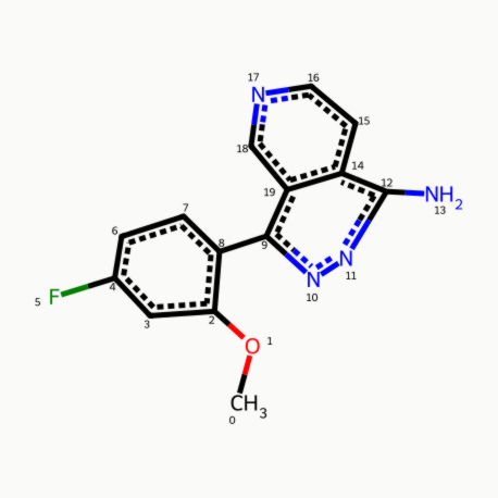 COc1cc(F)ccc1-c1nnc(N)c2ccncc12